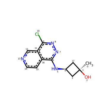 C[C@]1(O)C[C@@H](Nc2nnc(Cl)c3cnccc23)C1